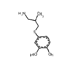 CC(CN)CSc1ccc(O)c(O)c1